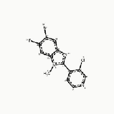 Cn1c(-c2ccncc2Cl)nc2cc(Br)c(F)cc21